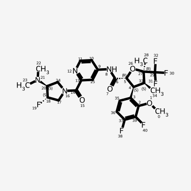 COc1c([C@H]2[C@H](C(=O)Nc3ccnc(C(=O)N4C[C@H](F)[C@@H](N(C)C)C4)c3)O[C@@](C)(C(F)(F)F)[C@H]2C)ccc(F)c1F